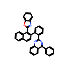 c1ccc(-c2nc(-c3ccccc3-c3ccc4ccccc4c3-c3nc4ccccc4o3)nc3ccccc23)cc1